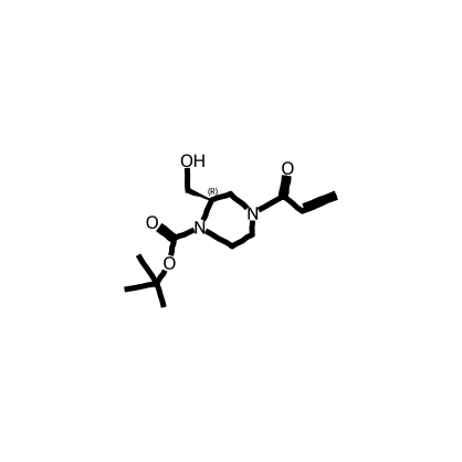 C=CC(=O)N1CCN(C(=O)OC(C)(C)C)[C@@H](CO)C1